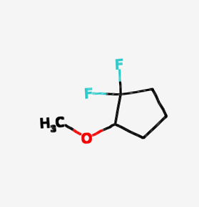 COC1CCCC1(F)F